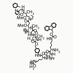 CC[C@H](C)[C@@H]([C@@H](CC(=O)N1CCC[C@H]1[C@H](OC)[C@@H](C)C(=O)N[C@@H](Cc1ccccc1)c1nccs1)OC)N(C)C(=O)[C@@H](NC(=O)C(C)(C)NC(=O)OCc1ccc(NC(=O)[C@H](CCCNC(N)=O)NC(=O)[C@@H](NC(=O)[C@@H](N)CCCCNC(=O)OCC2c3ccccc3-c3ccccc32)C(C)C)cc1)C(C)C